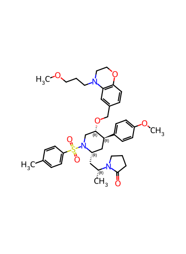 COCCCN1CCOc2ccc(CO[C@H]3CN(S(=O)(=O)c4ccc(C)cc4)[C@@H](C[C@@H](C)N4CCCC4=O)C[C@@H]3c3ccc(OC)cc3)cc21